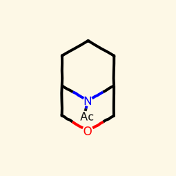 CC(=O)N1C2CCCC1COC2